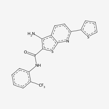 Nc1c(C(=O)Nc2ccccc2C(F)(F)F)sc2nc(-c3cccs3)ccc12